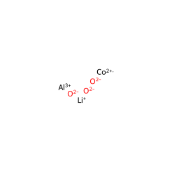 [Al+3].[Co+2].[Li+].[O-2].[O-2].[O-2]